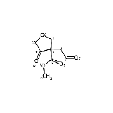 COC(=O)C1(CC=O)COCC1=O